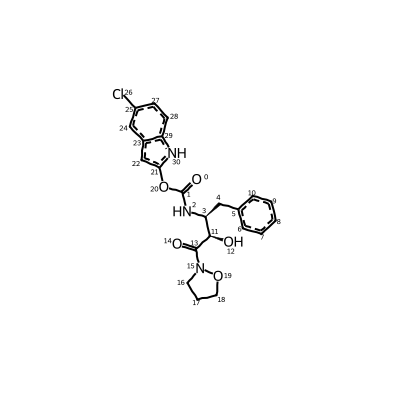 O=C(N[C@@H](Cc1ccccc1)[C@@H](O)C(=O)N1CCCO1)Oc1cc2cc(Cl)ccc2[nH]1